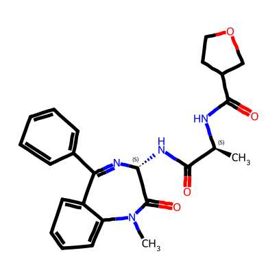 C[C@H](NC(=O)C1CCOC1)C(=O)N[C@H]1N=C(c2ccccc2)c2ccccc2N(C)C1=O